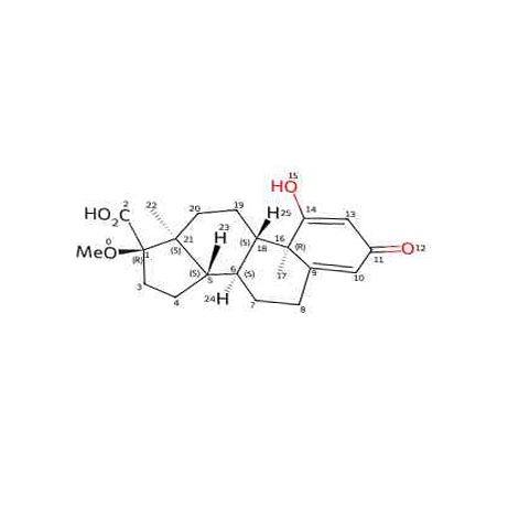 CO[C@]1(C(=O)O)CC[C@H]2[C@@H]3CCC4=CC(=O)C=C(O)[C@]4(C)[C@H]3CC[C@@]21C